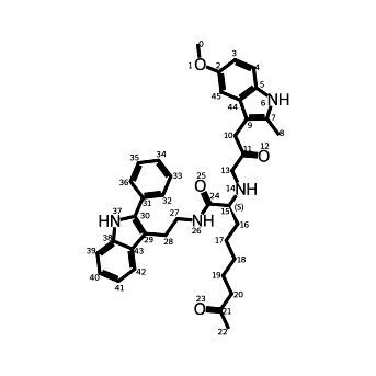 COc1ccc2[nH]c(C)c(CC(=O)CN[C@@H](CCCCCC(C)=O)C(=O)NCCc3c(-c4ccccc4)[nH]c4ccccc34)c2c1